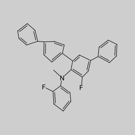 CN(c1ccccc1F)c1c(F)cc(-c2ccccc2)cc1-c1ccc(-c2ccccc2)cc1